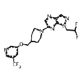 FC(F)Cn1ncc2ncc(N3CCC(COc4cncc(C(F)(F)F)c4)CC3)nc21